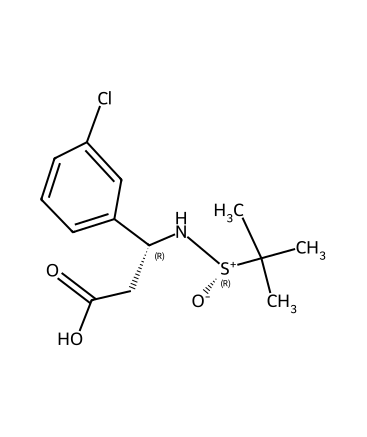 CC(C)(C)[S@+]([O-])N[C@H](CC(=O)O)c1cccc(Cl)c1